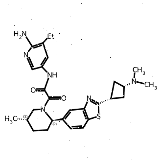 CCc1cc(NC(=O)C(=O)N2C[C@@H](C)CC[C@@H]2c2ccc3sc([C@H]4C[C@@H](N(C)C)C4)nc3c2)cnc1N